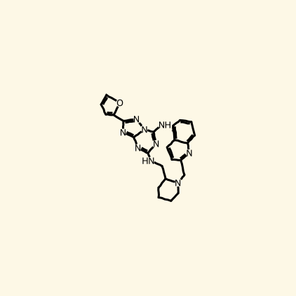 Nc1nc(NCC2CCCCN2Cc2ccc3ccccc3n2)nc2nc(-c3ccco3)nn12